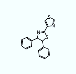 c1ccc(C2N=C(c3cscn3)SC2c2ccccc2)cc1